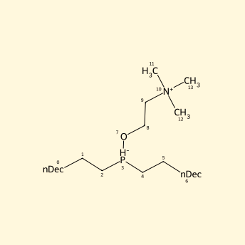 CCCCCCCCCCCC[PH-](CCCCCCCCCCCC)OCC[N+](C)(C)C